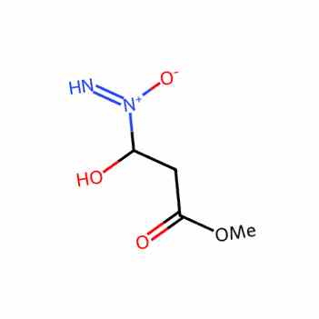 COC(=O)CC(O)[N+](=N)[O-]